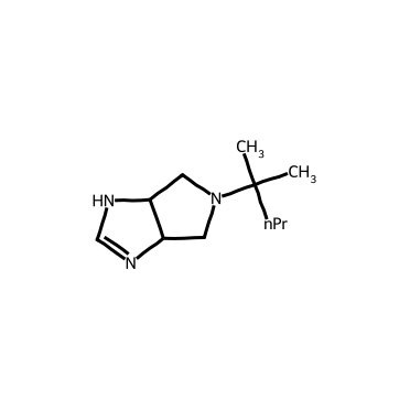 CCCC(C)(C)N1CC2N=CNC2C1